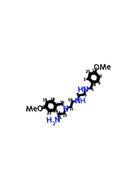 COc1ccc(CNCCNCCN(CCN)Cc2ccc(OC)cc2)cc1